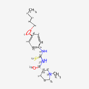 CCCCCOc1ccc(NC(=S)NC(=O)[C@H]2CCCN(C)C2)cc1